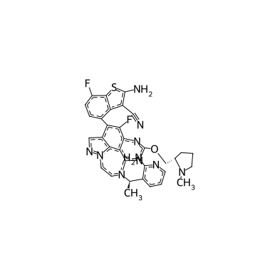 C[C@H](c1cccnc1N)n1ccn2ncc3c(-c4ccc(F)c5sc(N)c(C#N)c45)c(F)c4nc(OC[C@@H]5CCCN5C)nc1c4c32